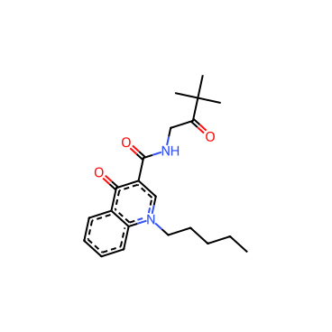 CCCCCn1cc(C(=O)NCC(=O)C(C)(C)C)c(=O)c2ccccc21